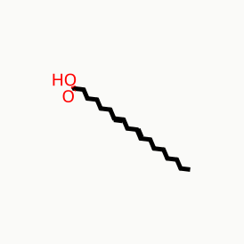 CCCCCCCC=CCC=CCCCCCC(=O)O